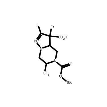 CCC1(C(=O)O)C(I)=NN2CC(C(F)(F)F)N(C(=O)OC(C)(C)C)CC21